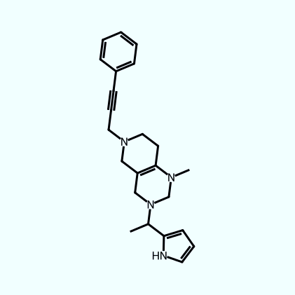 CC(c1ccc[nH]1)N1CC2=C(CCN(CC#Cc3ccccc3)C2)N(C)C1